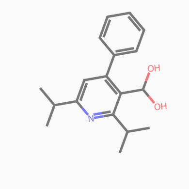 CC(C)c1cc(-c2ccccc2)c(C(O)O)c(C(C)C)n1